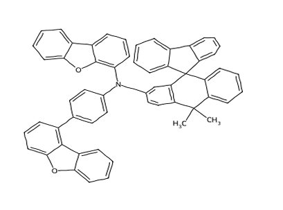 CC1(C)c2ccccc2C2(c3ccccc3-c3ccccc32)c2cc(N(c3ccc(-c4cccc5oc6ccccc6c45)cc3)c3cccc4c3oc3ccccc34)ccc21